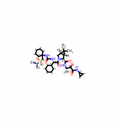 CCC[C@H](NC(=O)[C@@H]1[C@@H]2[C@H](CN1C(=O)[C@@H](NC(=O)NC1(CS(=O)(=O)N(CC)CC)CCCCC1)C1CCCCC1)C2(C)C)C(=O)C(=O)NC1CC1